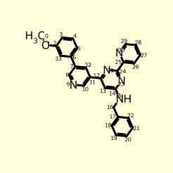 COc1cccc(-c2cncc(-c3cc(NCc4ccccc4)nc(-c4ccccn4)n3)c2)c1